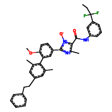 CCC(F)(F)c1cccc(NC(=O)c2c(C)[nH]c(-c3ccc(OC)c(-c4c(C)cc(CCc5ccccc5)cc4C)c3)[n+]2[O-])c1